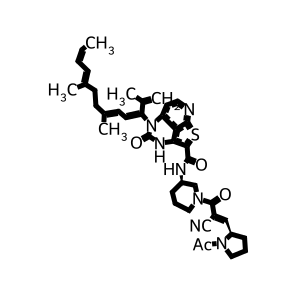 C=C(C)/C(=C\C=C(/C)CC/C(C)=C/C=C\C)N1C(=O)Nc2c(C(=O)N[C@@H]3CCCN(C(=O)/C(C#N)=C/[C@H]4CCCN4C(C)=O)C3)sc3nccc1c23